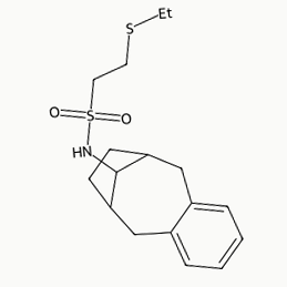 CCSCCS(=O)(=O)NC1C2CCC1Cc1ccccc1C2